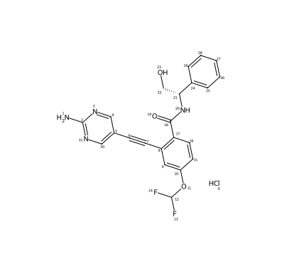 Cl.Nc1ncc(C#Cc2cc(OC(F)F)ccc2C(=O)N[C@H](CO)c2ccccc2)cn1